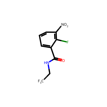 O=C(NCC(F)(F)F)c1cccc([N+](=O)[O-])c1F